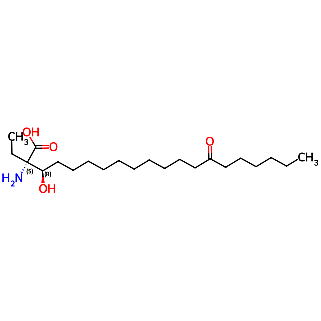 CCCCCCC(=O)CCCCCCCCCC[C@@H](O)[C@@](N)(CC)C(=O)O